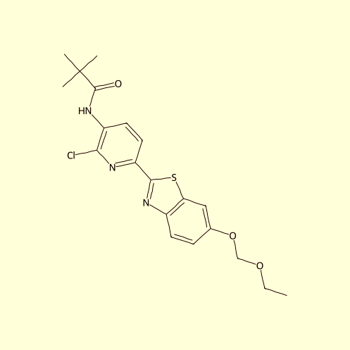 CCOCOc1ccc2nc(-c3ccc(NC(=O)C(C)(C)C)c(Cl)n3)sc2c1